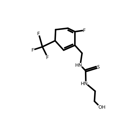 OCCNC(=S)NCC1=CC(C(F)(F)F)CC=C1F